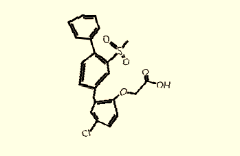 CS(=O)(=O)c1cc(-c2cc(Cl)ccc2OCC(=O)O)ccc1-c1ccccc1